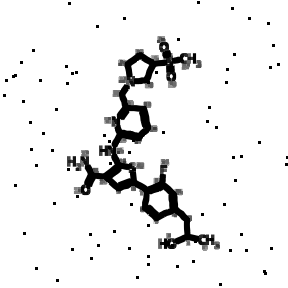 CC(O)Cc1ccc(-c2cc(C(N)=O)c(Nc3cccc(CN4CCC(S(C)(=O)=O)C4)n3)s2)c(F)c1